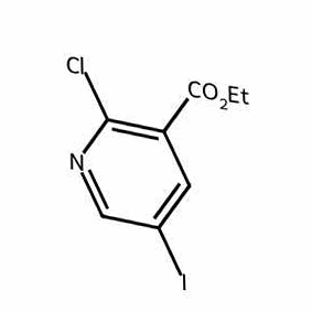 CCOC(=O)c1cc(I)cnc1Cl